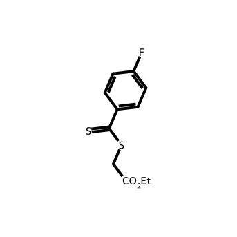 CCOC(=O)CSC(=S)c1ccc(F)cc1